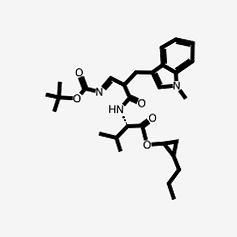 CCCC1CC1OC(=O)[C@@H](NC(=O)C(/C=N/C(=O)OC(C)(C)C)Cc1cn(C)c2ccccc12)C(C)C